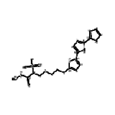 CS(=O)(=O)C(CCCCCc1ccc(-c2ccc(-c3cccs3)s2)s1)C(=O)NO